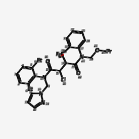 CCc1cccc(CC)c1N(Cn1cccn1)C(=O)C(Cl)C(Cl)C(=O)N(COC(C)C)c1ccccc1C(F)(F)F